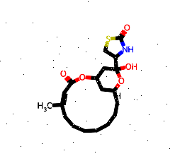 C/C1=C/C(=O)OC2C[C@@H](CCCCCCC1)OC(O)(C1CSC(=O)N1)C2